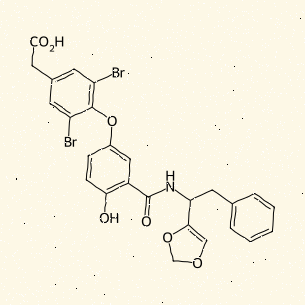 O=C(O)Cc1cc(Br)c(Oc2ccc(O)c(C(=O)NC(Cc3ccccc3)C3=COCO3)c2)c(Br)c1